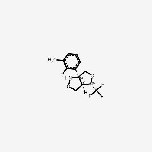 Cc1cccc([C@]23CO[C@H](C(F)(F)F)[C@H]2CON3)c1F